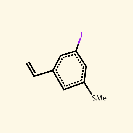 C=Cc1cc(I)cc(SC)c1